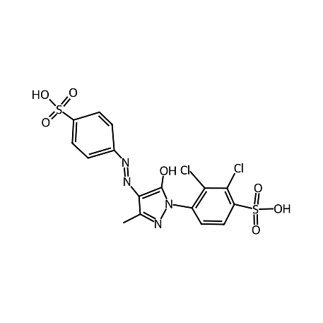 Cc1nn(-c2ccc(S(=O)(=O)O)c(Cl)c2Cl)c(O)c1N=Nc1ccc(S(=O)(=O)O)cc1